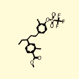 CCC(CCc1ccc(OS(=O)(=O)C(F)(F)F)c(C)c1)c1ccc(C(=O)OC)c(C)c1